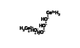 [GeH2+2].[GeH2+2].[OH-].[OH-].[OH-].[OH-]